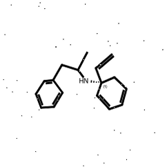 C=C[C@]1(NC(C)Cc2ccccc2)C=CC=CC1